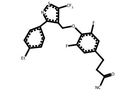 CCc1ccc(-c2nsc(C(F)(F)F)c2COc2c(F)cc(CCC(=O)C#N)cc2F)cc1